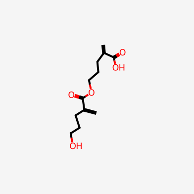 C=C(CCCOC(=O)C(=C)CCCO)C(=O)O